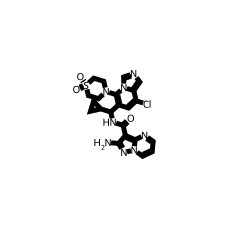 Nc1nn2cccnc2c1C(=O)NC(c1cc(Cl)c2cncn2c1N1CCS(=O)(=O)CC1)C1CC1